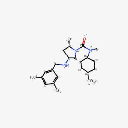 CC[C@@H]1C[C@H](NCc2cc(C(F)(F)F)cc(C(F)(F)F)c2)CN1C(=O)N(C)C1CCC(C(=O)O)CC1